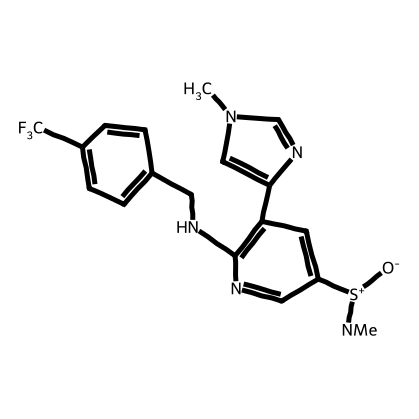 CN[S+]([O-])c1cnc(NCc2ccc(C(F)(F)F)cc2)c(-c2cn(C)cn2)c1